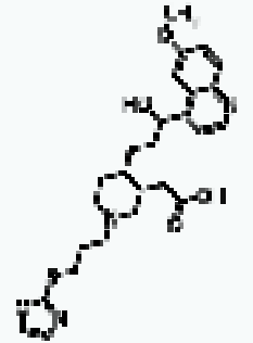 COc1ccc2nccc([C@H](O)CC[C@@H]3CCN(CCCSc4ncco4)C[C@@H]3CC(=O)O)c2c1